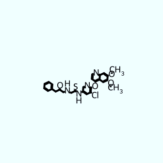 COc1cc2nccc(Oc3ncc(NC(=S)CNCC(=O)Cc4ccccc4)cc3Cl)c2cc1OC